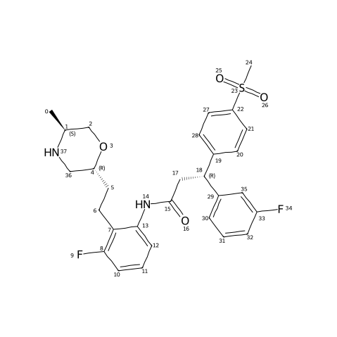 C[C@H]1CO[C@H](CCc2c(F)cccc2NC(=O)C[C@H](c2ccc(S(C)(=O)=O)cc2)c2cccc(F)c2)CN1